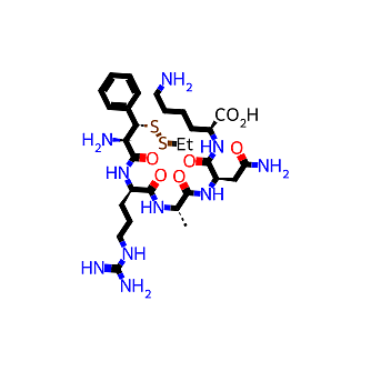 CCSS[C@@H](c1ccccc1)[C@H](N)C(=O)N[C@H](CCCNC(=N)N)C(=O)N[C@@H](C)C(=O)N[C@H](CC(N)=O)C(=O)N[C@@H](CCCCN)C(=O)O